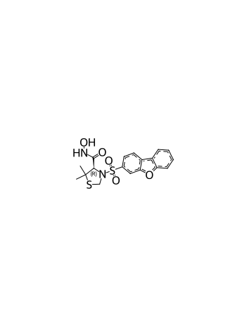 CC1(C)SCN(S(=O)(=O)c2ccc3c(c2)oc2ccccc23)[C@@H]1C(=O)NO